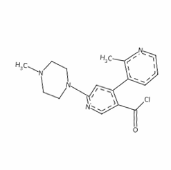 Cc1ncccc1-c1cc(N2CCN(C)CC2)ncc1C(=O)Cl